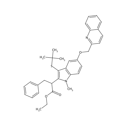 CCOC(=O)C(Cc1ccccc1)c1c(SC(C)(C)C)c2cc(OCc3ccc4ccccc4n3)ccc2n1C